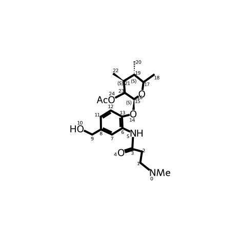 CNCCC(=O)Nc1cc(CO)ccc1O[C@@H]1OC(C)[C@@H](C)[C@H](C)C1OC(C)=O